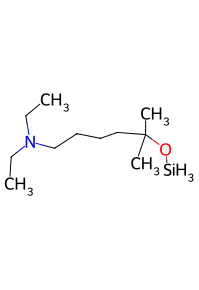 CCN(CC)CCCCC(C)(C)O[SiH3]